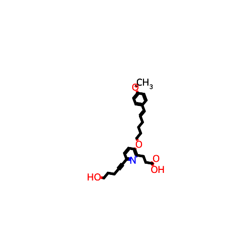 COc1ccc(C=CCCCCOc2ccc(C#CCCCO)nc2CCC(=O)O)cc1